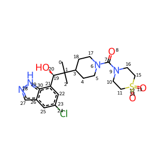 CC(C)(C1CCN(C(=O)N2CCS(=O)(=O)CC2)CC1)[C@H](O)c1cc(Cl)cc2cn[nH]c12